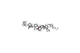 Cc1c(Nc2nccc(CN3CCC(O)C3)c2F)cccc1-c1cccc(-c2nc3cc(CN4CCC(C(=O)O)C4)cc(C#N)c3o2)c1C